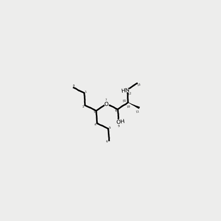 CCCC(CCC)OC(O)[C@H](C)NC